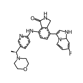 C[C@@H](c1ccc(Nc2ccc(C3=CNC4C=C(F)C=CN34)c3c2C(=O)NC3)nc1)N1CCOCC1